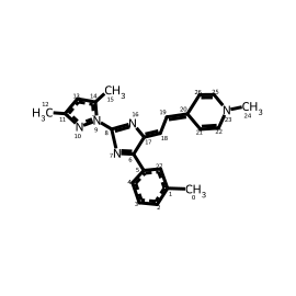 Cc1cccc(C2=NC(n3nc(C)cc3C)=NC2=CC=C2C=CN(C)C=C2)c1